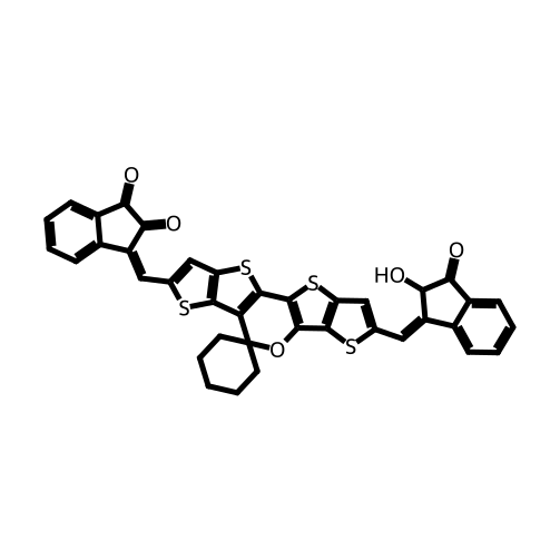 O=C1C(=O)c2ccccc2/C1=C/c1cc2sc3c(c2s1)C1(CCCCC1)Oc1c-3sc2cc(/C=C3/c4ccccc4C(=O)C3O)sc12